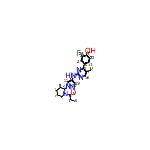 CCC(=O)N1CCCCC1n1cc(Nc2ncc(C)c(-c3ccc(O)c(F)c3)n2)cn1